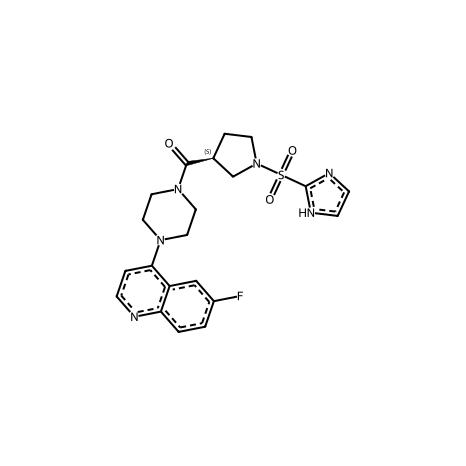 O=C([C@H]1CCN(S(=O)(=O)c2ncc[nH]2)C1)N1CCN(c2ccnc3ccc(F)cc23)CC1